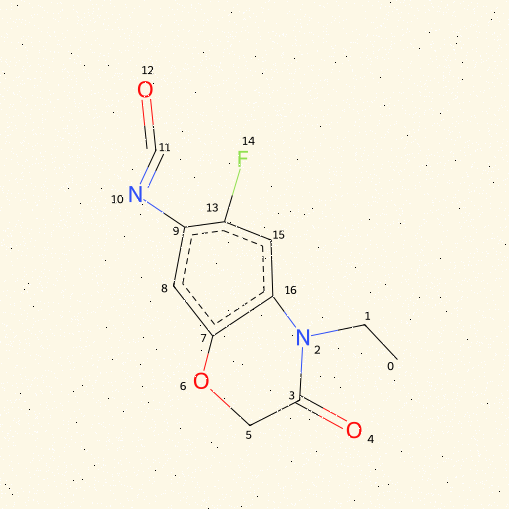 CCN1C(=O)COc2cc(N=C=O)c(F)cc21